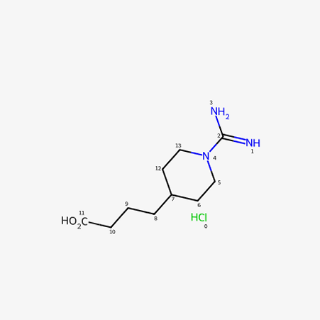 Cl.N=C(N)N1CCC(CCCC(=O)O)CC1